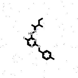 CCC(C)/C(C)=N/Nc1nc(OCc2ccc(C)cc2)ncc1F